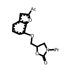 CC(=O)c1cc2cccc(OCC3CN(C(C)C)C(=O)O3)c2o1